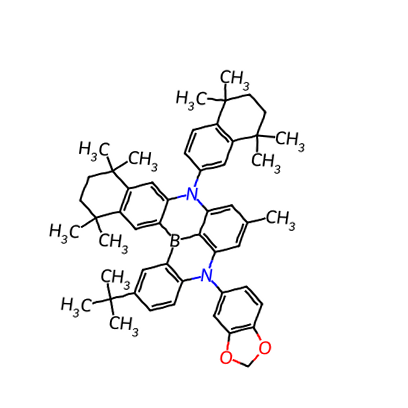 Cc1cc2c3c(c1)N(c1ccc4c(c1)C(C)(C)CCC4(C)C)c1cc4c(cc1B3c1cc(C(C)(C)C)ccc1N2c1ccc2c(c1)OCO2)C(C)(C)CCC4(C)C